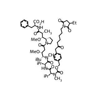 CCC1CC(=O)N(CCCCCC(=O)Cc2ccc(COC(=O)N(C)[C@H](C(=O)N[C@H](C(=O)N(C)[C@@H]([C@@H](C)CC)[C@@H](CC(=O)N3CCC[C@H]3[C@H](OC)[C@@H](C)C(=O)N[C@@H](Cc3ccccc3)C(=O)O)OC)C(C)C)C(C)C)cc2)C1=O